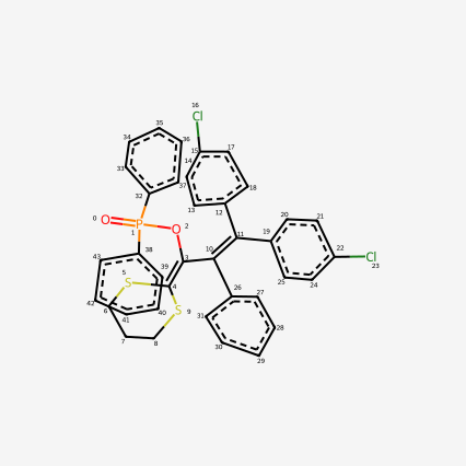 O=P(OC(=C1SCCCS1)C(=C(c1ccc(Cl)cc1)c1ccc(Cl)cc1)c1ccccc1)(c1ccccc1)c1ccccc1